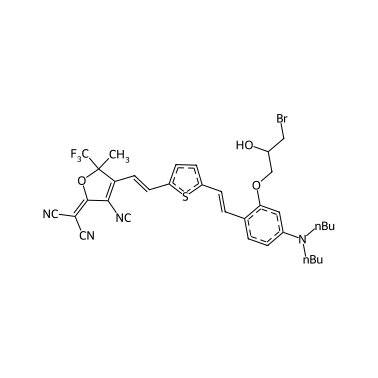 [C-]#[N+]C1=C(/C=C/c2ccc(/C=C/c3ccc(N(CCCC)CCCC)cc3OCC(O)CBr)s2)C(C)(C(F)(F)F)OC1=C(C#N)C#N